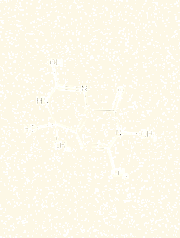 Cc1cc2c(c(=O)n1C)N=C(O)NC2(C)O